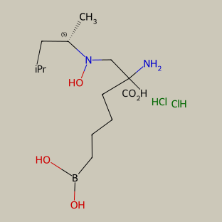 CC(C)C[C@H](C)N(O)CC(N)(CCCCB(O)O)C(=O)O.Cl.Cl